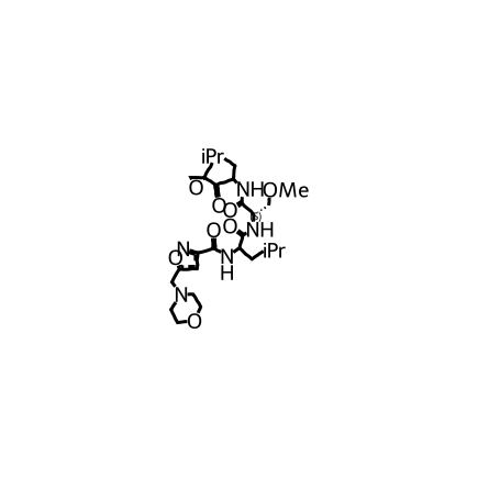 COC[C@H](NC(=O)C(CC(C)C)NC(=O)c1cc(CN2CCOCC2)on1)C(=O)NC(CC(C)C)C(=O)C1(C)CO1